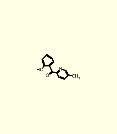 Cc1ccc(C(=O)c2ccccc2O)nc1